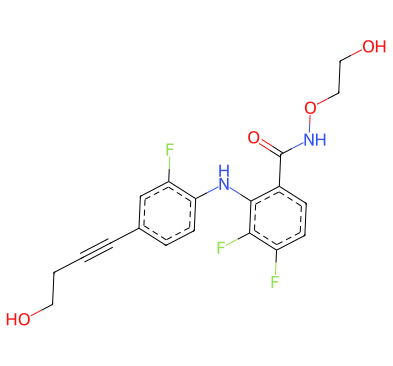 O=C(NOCCO)c1ccc(F)c(F)c1Nc1ccc(C#CCCO)cc1F